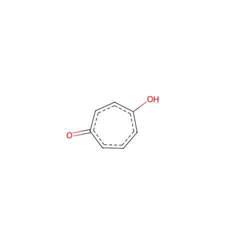 O=c1cccc(O)cc1